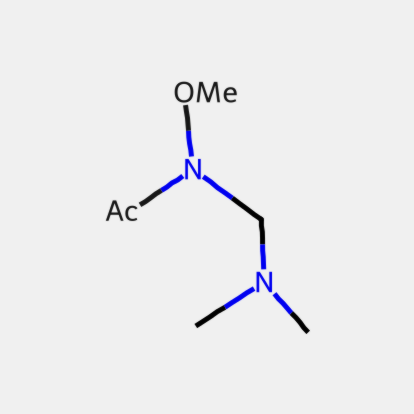 CON(CN(C)C)C(C)=O